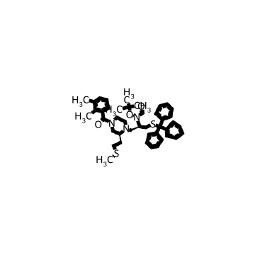 CSCC[C@H]1CN(C(=O)c2cccc(C)c2C)CCN1C[C@H](CSC(c1ccccc1)(c1ccccc1)c1ccccc1)N(C=O)OC(C)(C)C